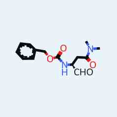 CN(C)C(=O)C[C@@H](C=O)NC(=O)OCc1ccccc1